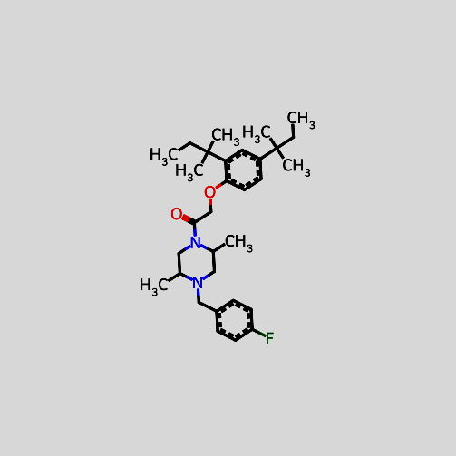 CCC(C)(C)c1ccc(OCC(=O)N2CC(C)N(Cc3ccc(F)cc3)CC2C)c(C(C)(C)CC)c1